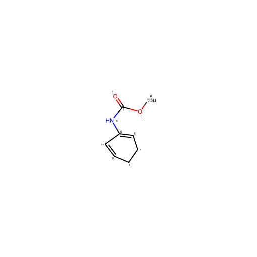 CC(C)(C)OC(=O)NC1=CCCC=C1